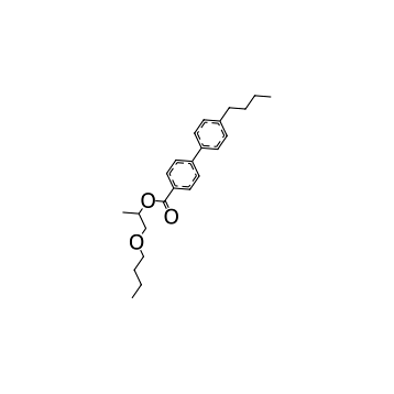 CCCCOCC(C)OC(=O)c1ccc(-c2ccc(CCCC)cc2)cc1